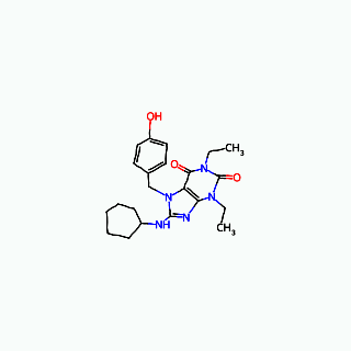 CCn1c(=O)c2c(nc(NC3CCCCC3)n2Cc2ccc(O)cc2)n(CC)c1=O